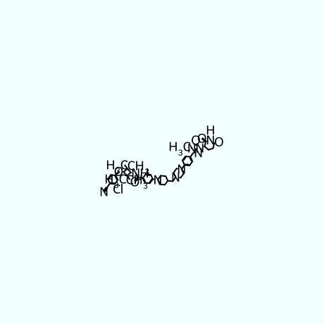 Cn1c(-c2ccc(N3CCN(CC4CCN(c5ccc(C(=O)N[C@H]6C(C)(C)[C@H](Oc7ccc(C#N)c(Cl)c7)C6(C)C)cc5)CC4)CC3)cc2)nn(C2CCC(=O)NC2=O)c1=O